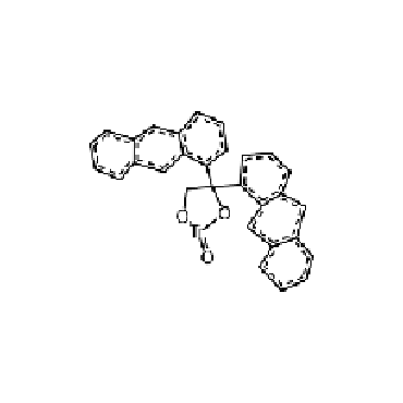 [O]=[Ti]1[O]CC(c2cccc3cc4ccccc4cc23)(c2cccc3cc4ccccc4cc23)[O]1